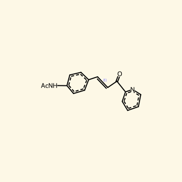 CC(=O)Nc1ccc(/C=C/C(=O)c2ccccn2)cc1